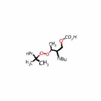 CCCCC(COC(=O)O)C(C)OOC(C)(C)CCC